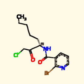 CCCCC[C@H](NC(=O)c1cccnc1Br)C(=O)CCl